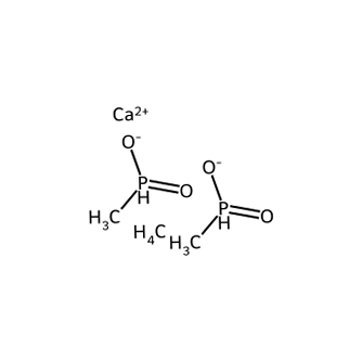 C.C[PH](=O)[O-].C[PH](=O)[O-].[Ca+2]